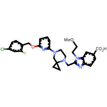 COCCn1c(CN2CCN(c3cccc(OCc4ccc(Cl)cc4F)n3)CC23CC3)nc2ccc(C(=O)O)cc21